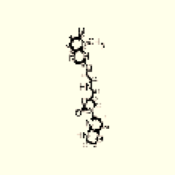 Cn1c(=O)ccc2ncc(OCCNCC3CN(c4ccc5c(n4)NCCO5)C(=O)O3)nc21